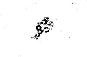 CC(C)Oc1nc(Nc2ccc3nc(CS(=O)(=O)O)cc(N4CCNCC4)c3c2)nc2[nH]cnc12